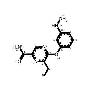 CCc1nc(C(N)=O)cnc1Oc1cccc(NN)c1